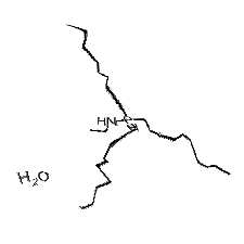 CCCCCCCC[PH](CCCCCCCC)(CCCCCCCC)NCC.O